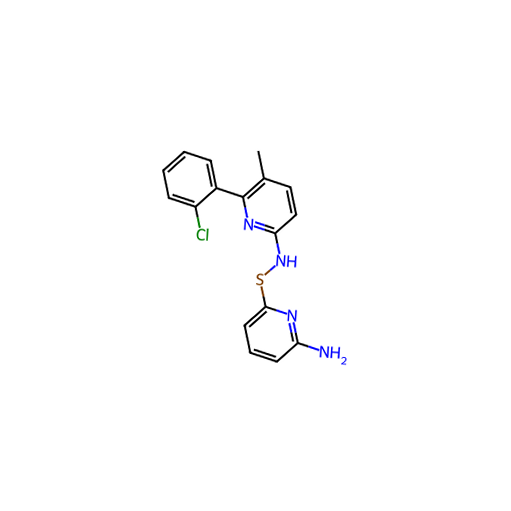 Cc1ccc(NSc2cccc(N)n2)nc1-c1ccccc1Cl